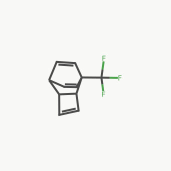 FC(F)(F)C12C=CC(C=C1)C1C=CC12